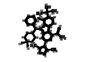 Cc1noc(C)c1-c1cc(C(N)=O)c2c3ccc(C(C)(C)O)c(F)c3n(C(c3ccccc3)C3CCC(F)(F)CC3)c2c1